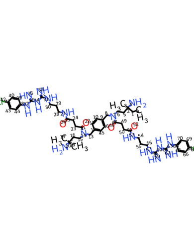 CCC(C)(N)CCN(Cc1ccc(CN(CCC(C)(C)N)C(=O)CCC(=O)NCCCNC(=N)NC(=N)Nc2ccc(Cl)cc2)cc1)C(=O)CCC(=O)NCCCNC(=N)NC(=N)Nc1ccc(Cl)cc1